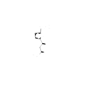 CCOC(=O)c1ccc(C(=O)CC(=O)C(F)(F)F)s1